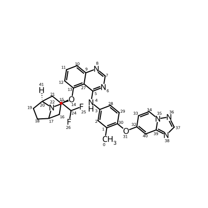 Cc1cc(Nc2ncnc3cccc(O[C@H]4CC5CC[C@@H](C4)N5CC(F)F)c23)ccc1Oc1ccn2ncnc2c1